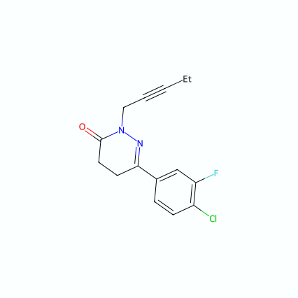 CCC#CCN1N=C(c2ccc(Cl)c(F)c2)CCC1=O